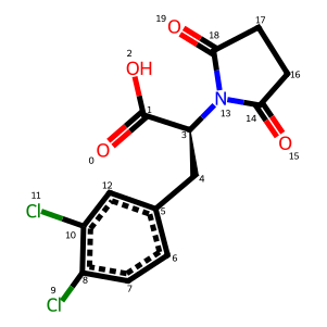 O=C(O)[C@H](Cc1ccc(Cl)c(Cl)c1)N1C(=O)CCC1=O